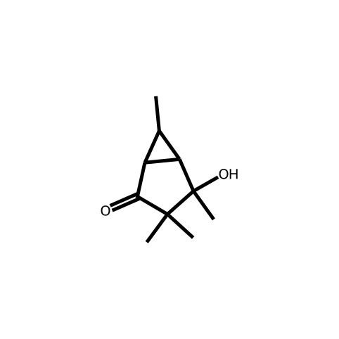 CC1C2C(=O)C(C)(C)C(C)(O)C12